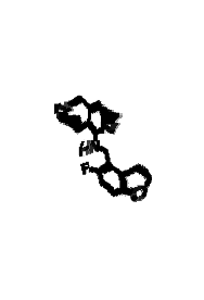 Fc1ccc2c(c1CNc1nccc3cnccc13)CCO2